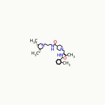 CC[C@@H]1C[C@H](CC)CN(CCCNC(=O)C2CCN(CC3=C(C)OC(c4ccccc4C)N3)CC2)C1